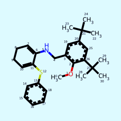 COc1c(CNC2=CCCC=C2Sc2ccccc2)cc(C(C)(C)C)cc1C(C)(C)C